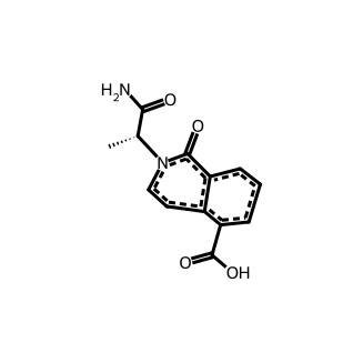 C[C@H](C(N)=O)n1ccc2c(C(=O)O)cccc2c1=O